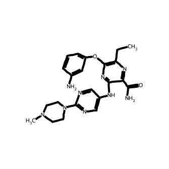 CCc1nc(C(N)=O)c(Nc2cnc(N3CCN(C)CC3)nc2)nc1Oc1cccc(N)c1